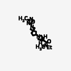 CCN(C)C(=O)C1[C@H]2CN(C3CCC4(C3)CN(c3nc(C)no3)C4)C[C@@H]12